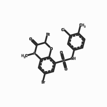 CCC1Oc2c(cc(Br)cc2S(=O)(=O)Nc2ccc(C)c(Cl)c2)N(C)C1=O